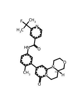 Cc1ccc(NC(=O)c2ccnc(C(C)(C)F)c2)cc1-c1cc2n(c(=O)c1)CC[C@H]1COCCN21